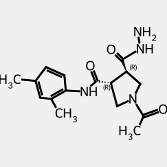 CC(=O)N1C[C@H](C(=O)NN)[C@@H](C(=O)Nc2ccc(C)cc2C)C1